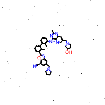 Cc1nc(Nc2cccc(-c3cccc(-c4nc5cc(CN6CCCC6)cc(C#N)c5o4)c3C)c2C)c2ncc(CN3CC[C@@H](O)C3)cc2n1